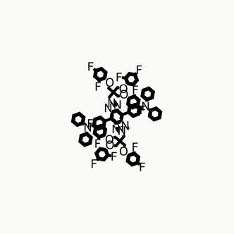 Fc1ccc(OCC(COc2ccc(F)cc2F)(COc2ccc(F)cc2F)Cn2nc3c(-c4ccc(N(c5ccccc5)c5ccccc5)cc4)c4n[n+](CC(COc5ccc(F)cc5F)(COc5ccc(F)cc5F)COc5ccc(F)cc5F)[n-]c4c(-c4ccc(N(c5ccccc5)c5ccccc5)cc4)c3n2)c(F)c1